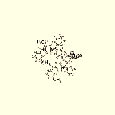 Cc1cccc(CN2CCN(C(c3ccccc3)c3ccc(Cl)cc3)CC2)c1.Cc1cccc(CN2CCN(C(c3ccccc3)c3ccc(Cl)cc3)CC2)c1.Cl.Cl.Cl.Cl